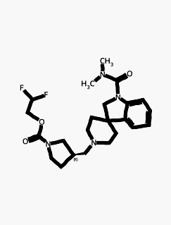 CN(C)C(=O)N1CC2(CCN(C[C@H]3CCN(C(=O)OCC(F)F)C3)CC2)c2ccccc21